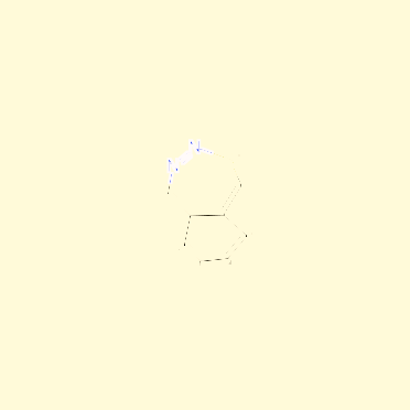 C1=c2ccccc2=CSN=N1